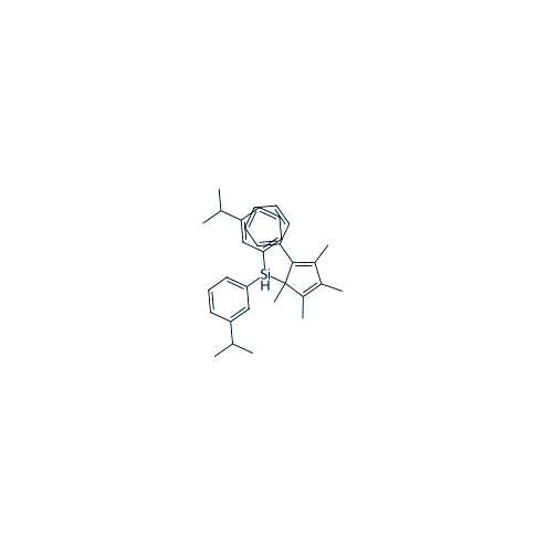 CC1=C(C)C(C)([SiH](c2cccc(C(C)C)c2)c2cccc(C(C)C)c2)C(c2ccccc2)=C1C